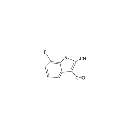 N#Cc1sc2c(F)cccc2c1C=O